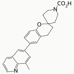 Cc1cc(-c2ccc3c(c2)CCC2(CCN(C(=O)O)CC2)O3)cc2cccnc12